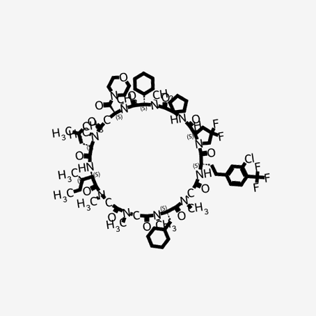 CC[C@H](C)[C@@H]1NC(=O)[C@H](CC(C)C)N(C)C(=O)C[C@@H](C(=O)N2CCOCC2)N(C)C(=O)[C@H](C2CCCCC2)N(C)C(=O)C2(CCCC2)NC(=O)[C@@H]2CC(F)(F)CN2C(=O)[C@H](CCc2ccc(C(F)(F)F)c(Cl)c2)NC(=O)CN(C)C(=O)[C@H](CC2CCCCC2)N(C)C(=O)CN(C)C(=O)CN(C)C1=O